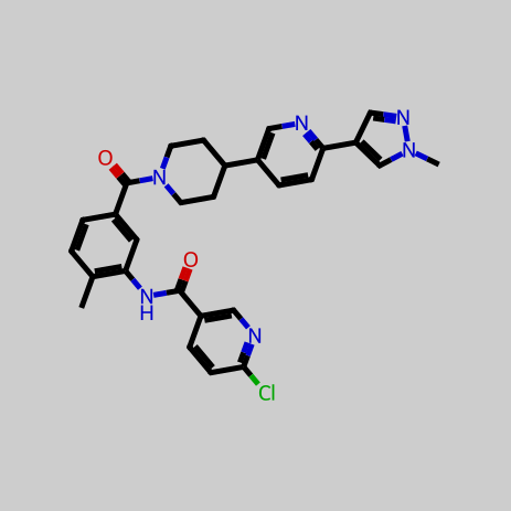 Cc1ccc(C(=O)N2CCC(c3ccc(-c4cnn(C)c4)nc3)CC2)cc1NC(=O)c1ccc(Cl)nc1